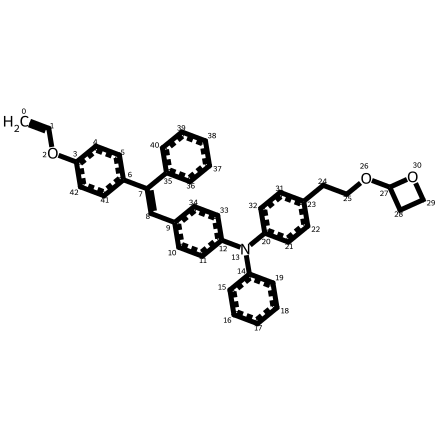 C=COc1ccc(C(=Cc2ccc(N(c3ccccc3)c3ccc(CCOC4CCO4)cc3)cc2)c2ccccc2)cc1